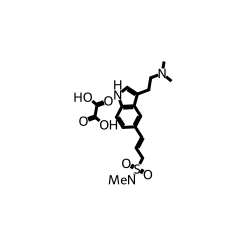 CNS(=O)(=O)CC=Cc1ccc2[nH]cc(CCN(C)C)c2c1.O=C(O)C(=O)O